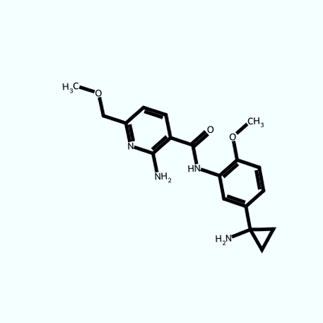 COCc1ccc(C(=O)Nc2cc(C3(N)CC3)ccc2OC)c(N)n1